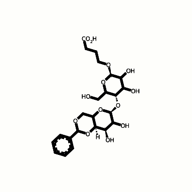 O=C(O)CCCO[C@@H]1OC(CO)[C@@H](O[C@@H]2OC3COC(c4ccccc4)O[C@@H]3[C@H](O)C2O)C(O)C1O